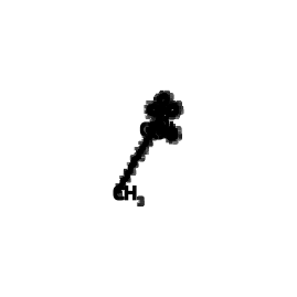 CCCCCCCCC=CCCCCCCCC(=O)NCC(COC(c1ccccc1)(c1ccccc1)c1ccccc1)OC(=O)c1ccccc1